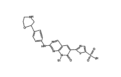 CCn1c(=O)c(-c2ncc(S(=O)(=O)C(C)C)s2)cc2cnc(Nc3ccc(C4CNCCO4)cc3)nc21